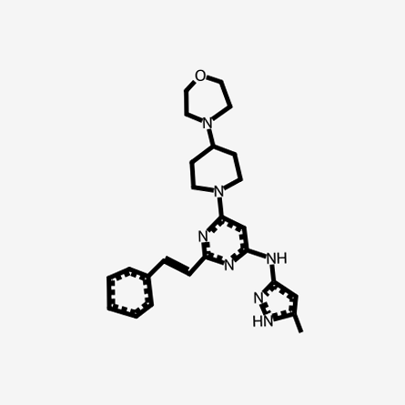 Cc1cc(Nc2cc(N3CCC(N4CCOCC4)CC3)nc(C=Cc3ccccc3)n2)n[nH]1